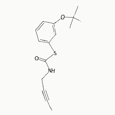 CC#CCNC(=O)Sc1cccc(OC(C)(C)C)c1